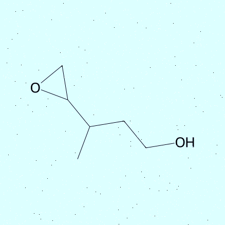 CC(CCO)C1CO1